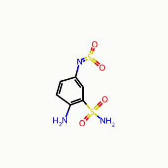 Nc1ccc(N=S(=O)=O)cc1S(N)(=O)=O